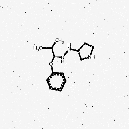 CC(C)[C@@H](NNC1CCNC1)Oc1ccccc1